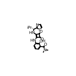 CC(C)[C@@H](Nc1c(Nc2cccc(C(=O)N(C)C)c2O)c(=O)c1=O)c1nccs1